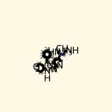 CN/C(=C\C=N)c1cnc2nc(NC3CCOCC3)n(Cc3ccccc3)c2c1